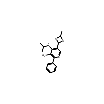 CC(C)Nc1c(C2OC(C)O2)cnc(-c2ccccc2)c1N